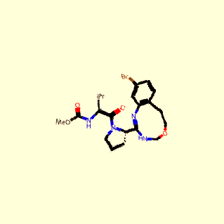 COC(=O)N[C@H](C(=O)N1CCC[C@H]1/C1=N/c2cc(Br)ccc2CCOCN1)C(C)C